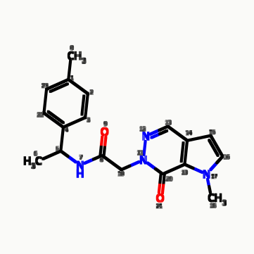 Cc1ccc(C(C)NC(=O)Cn2ncc3ccn(C)c3c2=O)cc1